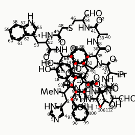 CNC(Cc1cnc[nH]1)C(=O)NC(Cc1ccc(O)cc1)C(=O)NC(C(=O)NC(C(=O)N1CC(O)CC1C(=O)NC(C)C(=O)NC(C=O)CSCC(=O)NC(Cc1c[nH]c2ccccc12)C(=O)NC(C(=O)N(C)CC(=O)NC(CC(=O)O)C(C)N(C)C(Cc1ccccc1)C(=O)N(C)C(Cc1ccccc1)C(=O)NC(C)C(=O)N(C)C(C)C=O)C(C)O)C(C)C)C(C)O